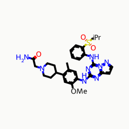 COc1cc(C2CCN(CC(N)=O)CC2)c(C)cc1Nc1nc(Nc2ccccc2S(=O)(=O)C(C)C)n2nccc2n1